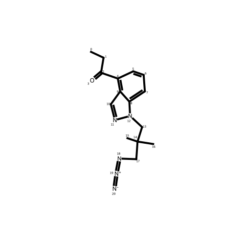 CCC(=O)c1cccc2c1cnn2CC(C)(C)CN=[N+]=[N-]